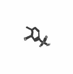 Cc1ccc(S([NH])(=O)=O)cc1Cl